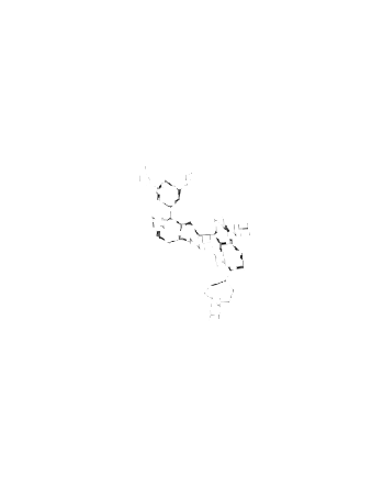 COc1cc(F)cc(-c2nccc3[nH]c(-c4n[nH]c5ccc(C6=CCNCC6)nc45)cc23)c1